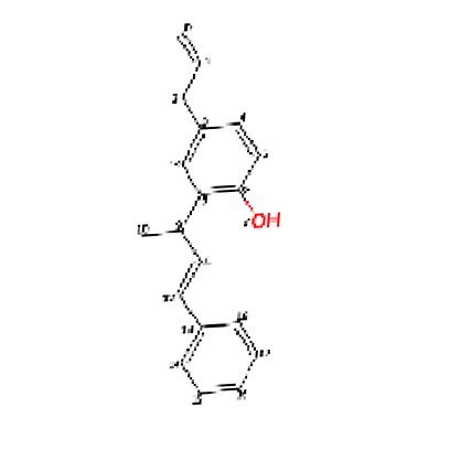 C=CCc1ccc(O)c(C(C)C=Cc2ccccc2)c1